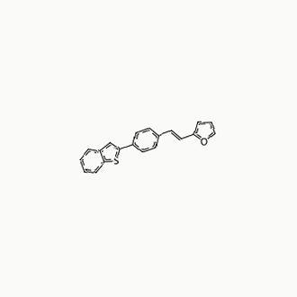 C(=Cc1ccco1)c1ccc(-c2cc3ccccc3s2)cc1